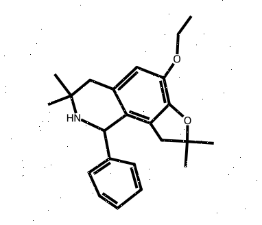 CCOc1cc2c(c3c1OC(C)(C)C3)C(c1ccccc1)NC(C)(C)C2